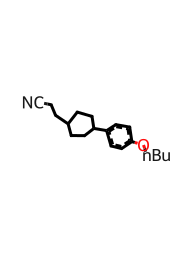 CCCCOc1ccc(C2CCC(CCC#N)CC2)cc1